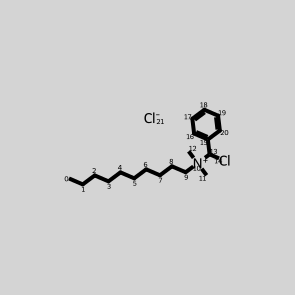 CCCCCCCCCC[N+](C)(C)C(Cl)c1ccccc1.[Cl-]